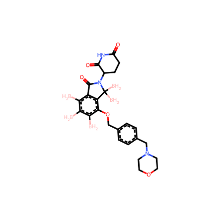 Bc1c(B)c(OCc2ccc(CN3CCOCC3)cc2)c2c(c1B)C(=O)N(C1CCC(=O)NC1=O)C2(B)B